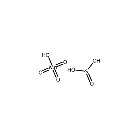 O=S(O)O.[O]=[Mn](=[O])(=[O])[OH]